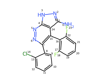 Nc1n[nH]c2nnc(-c3ccccc3Cl)c(-c3c(F)cccc3F)c12